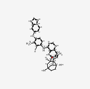 C=CC(=O)N1C[C@@H]2CC[C@@H]1C[C@@H](c1ccc3ncnc(Nc4ccc(Oc5ccn6ncnc6c5)c(C)c4F)c3n1)C2